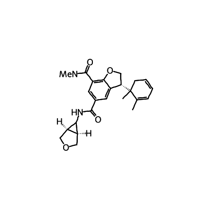 CNC(=O)c1cc(C(=O)NC2[C@H]3COC[C@@H]23)cc2c1OC[C@@H]2C1(C)CC=CC=C1C